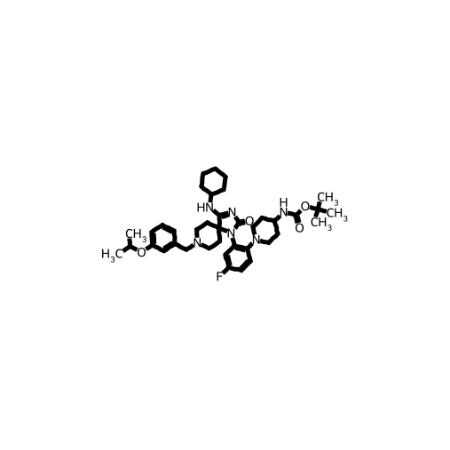 CC(C)Oc1cccc(CN2CCC3(CC2)C(NC2CCCCC2)=NC(=O)N3c2cc(F)ccc2N2CCC(NC(=O)OC(C)(C)C)CC2)c1